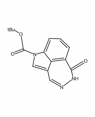 CC(C)(C)OC(=O)n1cc2c3c(cccc31)C(=O)NN=C2